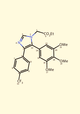 CCOC(=O)Cn1cnc(-c2ccc(C(F)(F)F)cc2)c1-c1cc(OC)c(OC)c(OC)c1